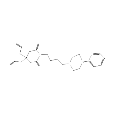 C=CCC1(CC=C)CC(=O)N(CCCCN2CCN(c3ccccn3)CC2)C(=O)C1